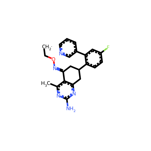 [CH2]CON=C1CC(c2ccc(F)cc2-c2cccnc2)Cc2nc(N)nc(C)c21